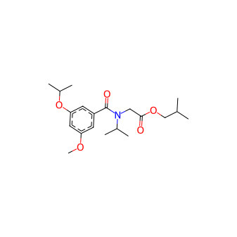 COc1cc(OC(C)C)cc(C(=O)N(CC(=O)OCC(C)C)C(C)C)c1